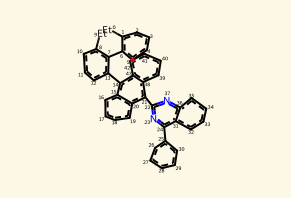 CCc1ccccc1-c1c(CC)cccc1-c1c2ccccc2c(-c2nc(-c3ccccc3)c3ccccc3n2)c2ccccc12